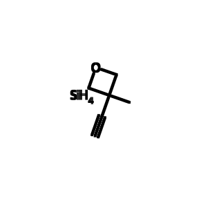 C#CC1(C)COC1.[SiH4]